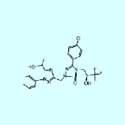 C/C=C\C(=C/C)n1nc(Cn2nc(-c3ccc(Cl)cc3)n(C[C@H](O)C(F)(F)F)c2=O)nc1C(C)O